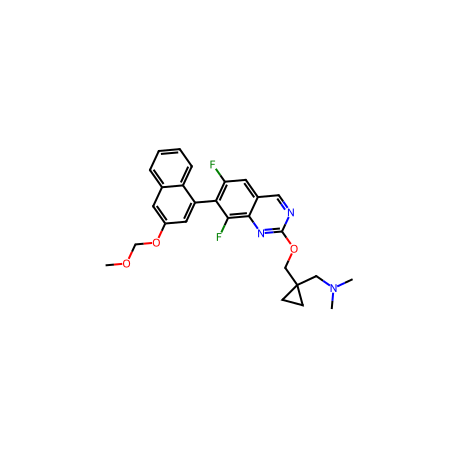 COCOc1cc(-c2c(F)cc3cnc(OCC4(CN(C)C)CC4)nc3c2F)c2ccccc2c1